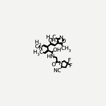 C=N/C=C(C(/C)=C/c1c(C)noc1C)\C(=C/C)C(O)NCC(=O)N1CC(F)(F)C[C@H]1C#N